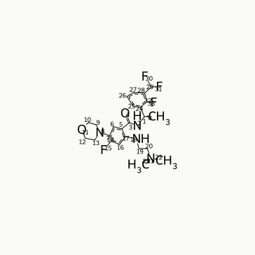 C[C@@H](NC(=O)c1cc(N2CCOCC2)c(F)cc1NCCN(C)C)c1cccc(C(F)F)c1F